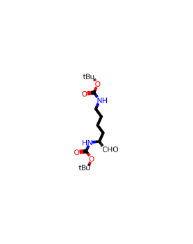 CC(C)(C)OC(=O)NCCCCC(C=O)NC(=O)OC(C)(C)C